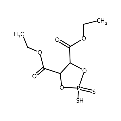 CCOC(=O)C1OP(=S)(S)OC1C(=O)OCC